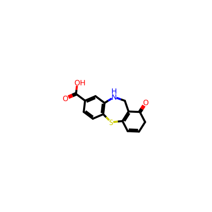 O=C1CC=CC2=C1CNc1cc(C(=O)O)ccc1S2